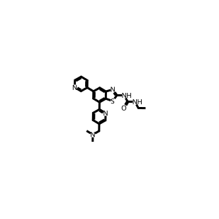 CCNC(=O)Nc1nc2cc(-c3cccnc3)cc(-c3ccc(CN(C)C)cn3)c2s1